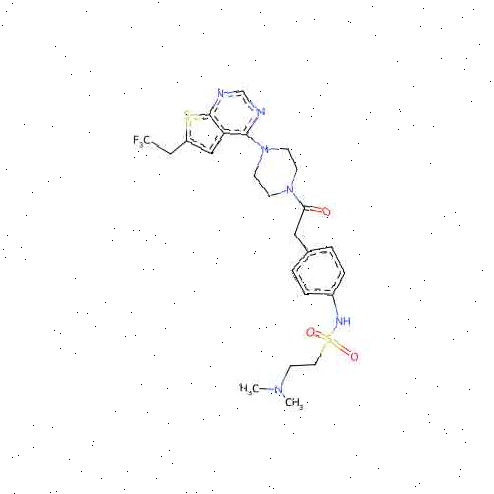 CN(C)CCS(=O)(=O)Nc1ccc(CC(=O)N2CCN(c3ncnc4sc(CC(F)(F)F)cc34)CC2)cc1